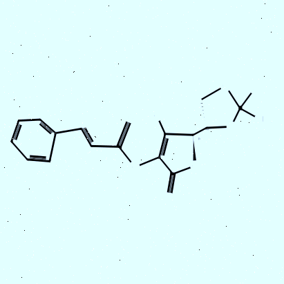 CC1(C)OC[C@@H]([C@H]2OC(=O)C(OC(=O)C=Cc3ccccc3)=C2O)O1